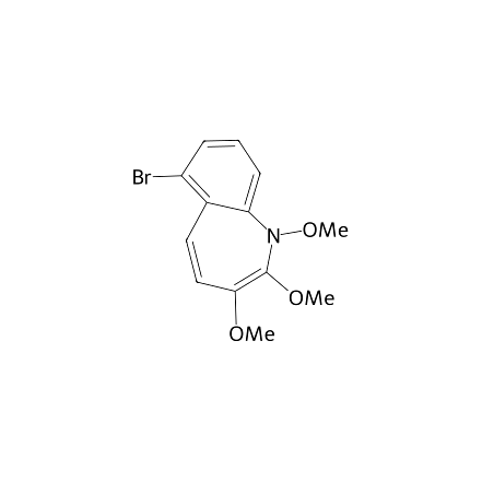 COC1=C(OC)N(OC)c2cccc(Br)c2C=C1